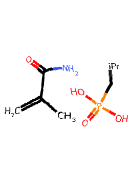 C=C(C)C(N)=O.CC(C)CP(=O)(O)O